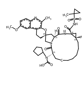 COc1ccc2nc(C)c3c(c2c1)CC[C@]1(C[C@H]2C(=O)N[C@]4(C(=O)NS(=O)(=O)C5(C)CC5)C[C@@H]4CCCCCCC[C@H](N(C(=O)O)C4CCCC4)C(=O)N2C1)O3